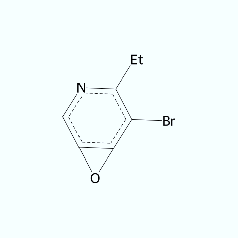 CCc1ncc2c(c1Br)O2